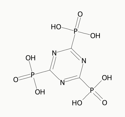 O=P(O)(O)c1nc(P(=O)(O)O)nc(P(=O)(O)O)n1